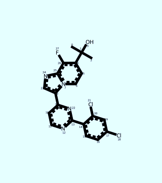 CC(C)(O)c1ccn2c(-c3ccnc(-c4ccc(Cl)cc4Cl)n3)cnc2c1F